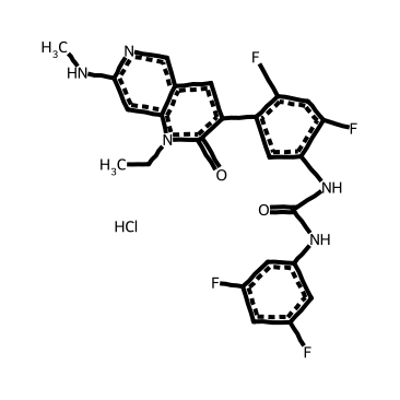 CCn1c(=O)c(-c2cc(NC(=O)Nc3cc(F)cc(F)c3)c(F)cc2F)cc2cnc(NC)cc21.Cl